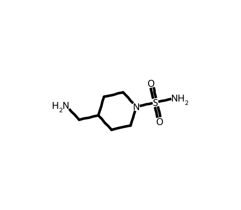 NCC1CCN(S(N)(=O)=O)CC1